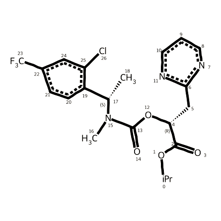 CC(C)OC(=O)[C@@H](Cc1ncccn1)OC(=O)N(C)[C@@H](C)c1ccc(C(F)(F)F)cc1Cl